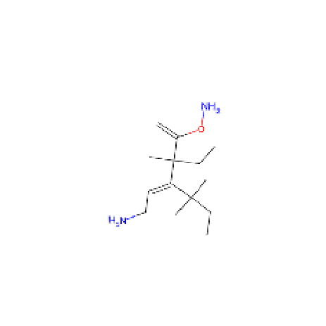 C=C(ON)C(C)(CC)/C(=C/CN)C(C)(C)CC